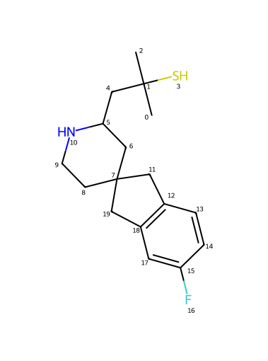 CC(C)(S)CC1CC2(CCN1)Cc1ccc(F)cc1C2